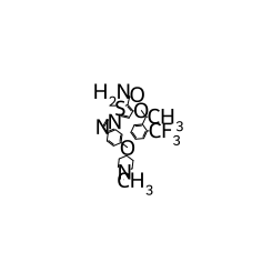 CC(Oc1cc(-n2cnc3ccc(OC4CCN(C)CC4)cc32)sc1C(N)=O)c1ccccc1C(F)(F)F